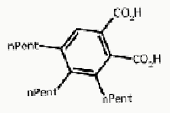 CCCCCc1cc(C(=O)O)c(C(=O)O)c(CCCCC)c1CCCCC